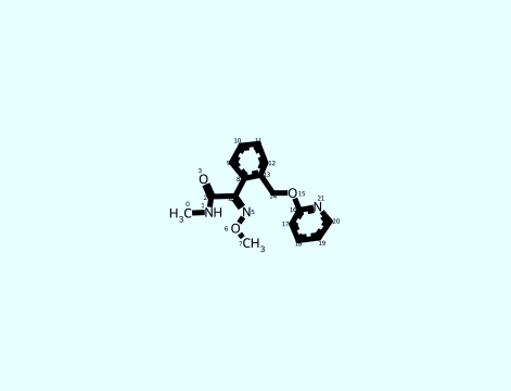 CNC(=O)C(=NOC)c1ccccc1COc1ccccn1